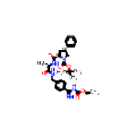 CCOC(=O)NC(=N)c1ccc(CNC(=O)[C@H](C)NC(=O)[C@H]2C[C@H](c3ccccc3)CN2C(=O)OC(C)(C)C)cc1